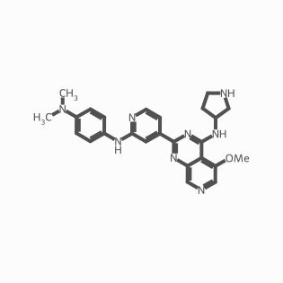 COc1cncc2nc(-c3ccnc(Nc4ccc(N(C)C)cc4)c3)nc(NC3CCNC3)c12